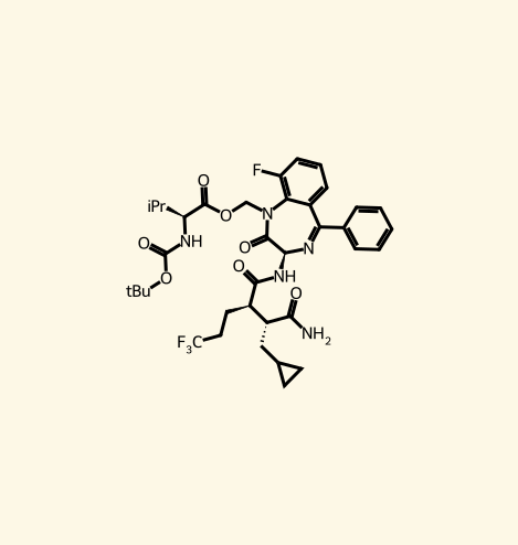 CC(C)[C@H](NC(=O)OC(C)(C)C)C(=O)OCN1C(=O)[C@H](NC(=O)[C@H](CCC(F)(F)F)[C@@H](CC2CC2)C(N)=O)N=C(c2ccccc2)c2cccc(F)c21